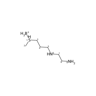 B[SH](C)CCCNCCN